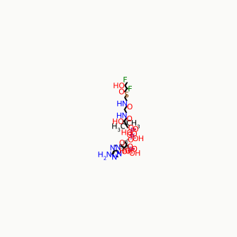 CC(C)(COP(=O)(O)OP(=O)(O)OC[C@H]1O[C@@H](n2cnc3c(N)ncnc32)[C@H](O)[C@@H]1OP(=O)(O)O)[C@@H](O)C(=O)NCCC(=O)NCCSC(=O)C(F)C(O)CF